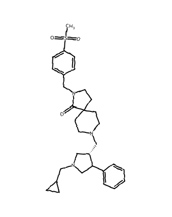 CS(=O)(=O)c1ccc(CN2CCC3(CCN(C[C@H]4CN(CC5CC5)CC4c4ccccc4)CC3)C2=O)cc1